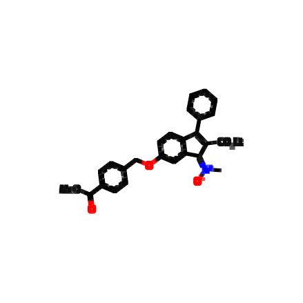 CCOC(=O)C1=C(c2ccccc2)c2ccc(OCc3ccc(C(=O)OC)cc3)cc2/C1=[N+](/C)[O-]